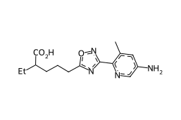 CCC(CCCc1nc(-c2ncc(N)cc2C)no1)C(=O)O